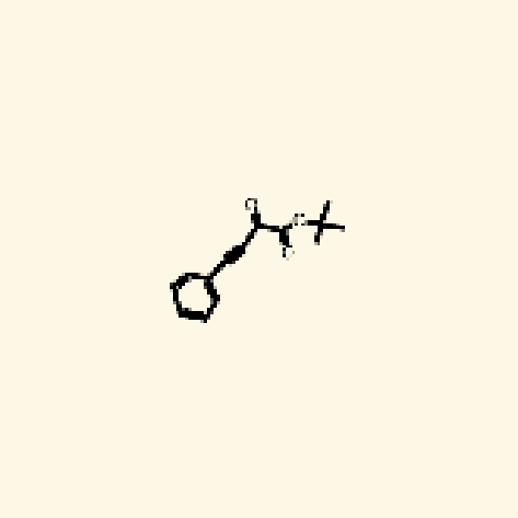 CC(C)(C)OC(=O)C(=O)C#Cc1ccccc1